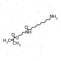 C=C(C)C(=O)OCCCNC(=O)CCCCCCCCCN